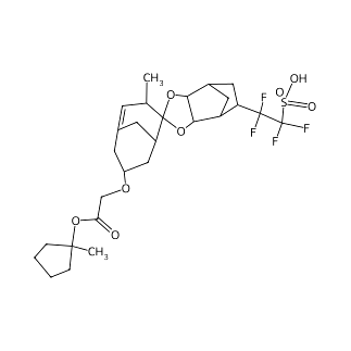 CC1C=C2CC(OCC(=O)OC3(C)CCCC3)CC(C2)C12OC1C3CC(C1O2)C(C(F)(F)C(F)(F)S(=O)(=O)O)C3